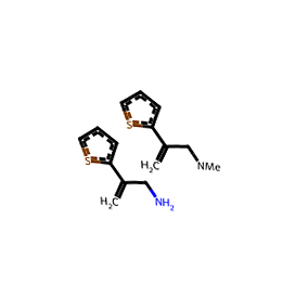 C=C(CN)c1cccs1.C=C(CNC)c1cccs1